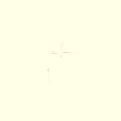 CCCCS(=O)(=O)OC(=O)CC